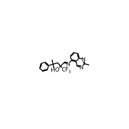 Cc1ncc2c(/N=C/C(O)(CC(C)(C)c3ccccc3)C(F)(F)F)cccc2n1